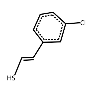 SC=Cc1cccc(Cl)c1